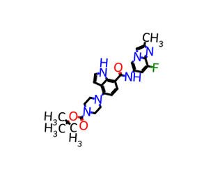 Cc1cn2cc(NC(=O)c3ccc(N4CCN(C(=O)OC(C)(C)C)CC4)c4cc[nH]c34)cc(F)c2n1